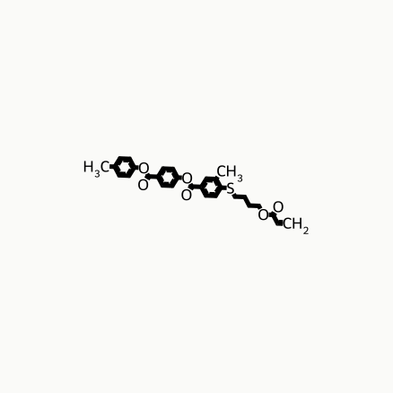 C=CC(=O)OCCCCSc1ccc(C(=O)Oc2ccc(C(=O)Oc3ccc(C)cc3)cc2)cc1C